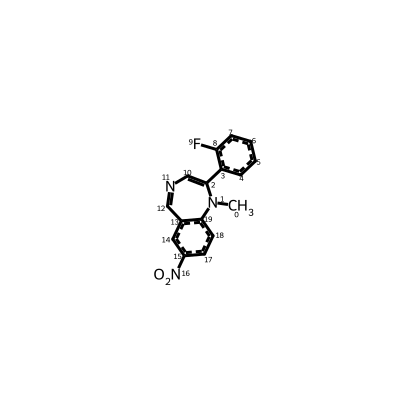 CN1C(c2ccccc2F)=CN=Cc2cc([N+](=O)[O-])ccc21